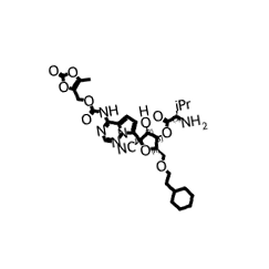 Cc1oc(=O)oc1COC(=O)Nc1ncnn2c([C@]3(C#N)O[C@H](COCCC4CCCCC4)[C@@H](OC(=O)[C@@H](N)C(C)C)[C@H]3O)ccc12